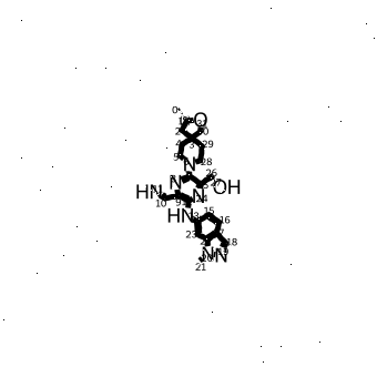 C[C@H]1CC2(CCN(c3nc(C=N)c(Nc4ccc5cnn(C)c5c4)nc3CO)CC2)CO1